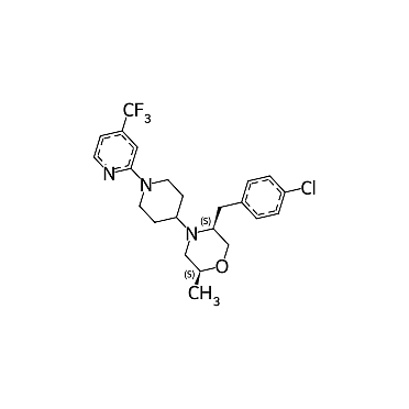 C[C@H]1CN(C2CCN(c3cc(C(F)(F)F)ccn3)CC2)[C@@H](Cc2ccc(Cl)cc2)CO1